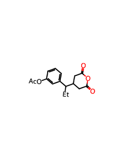 CCC(c1cccc(OC(C)=O)c1)C1CC(=O)OC(=O)C1